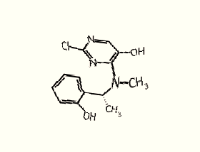 C[C@H](c1ccccc1O)N(C)c1nc(Cl)ncc1O